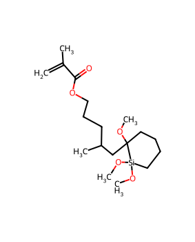 C=C(C)C(=O)OCCCC(C)CC1(OC)CCCC[Si]1(OC)OC